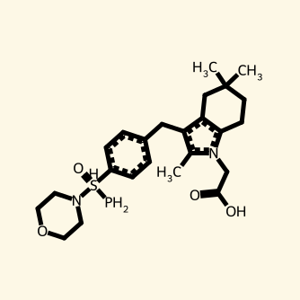 Cc1c(Cc2ccc([SH](=O)(P)N3CCOCC3)cc2)c2c(n1CC(=O)O)CCC(C)(C)C2